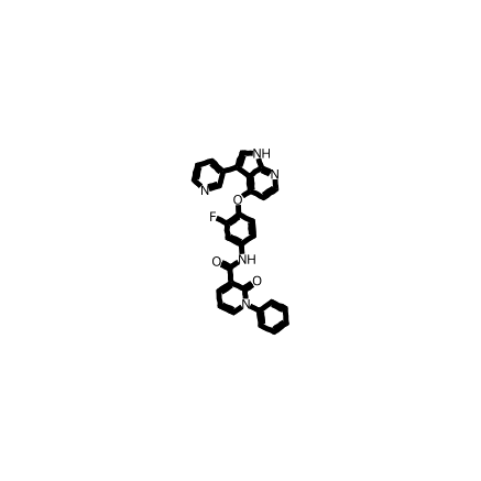 O=C(Nc1ccc(Oc2ccnc3[nH]cc(-c4cccnc4)c23)c(F)c1)c1cccn(-c2ccccc2)c1=O